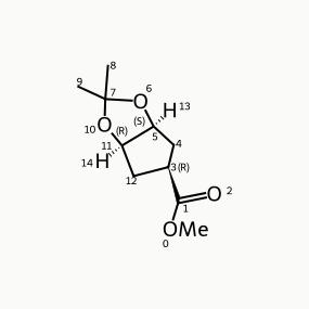 COC(=O)[C@@H]1C[C@@H]2OC(C)(C)O[C@@H]2C1